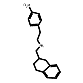 O=[N+]([O-])c1ccc(CCNCC2CCc3ccccc3C2)cc1